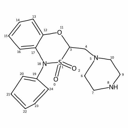 O=S1(=O)C(CN2CCNCC2)Oc2ccccc2N1c1ccccc1